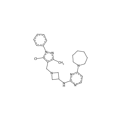 Cc1nn(-c2ccccc2)c(Cl)c1CN1CC(Nc2nccc(N3CCCCCC3)n2)C1